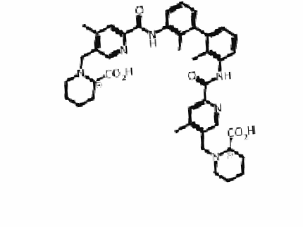 Cc1cc(C(=O)Nc2cccc(-c3cccc(NC(=O)c4cc(C)c(CN5CCCC[C@@H]5C(=O)O)cn4)c3C)c2C)ncc1CN1CCCC[C@@H]1C(=O)O